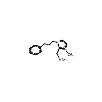 CCCCCCCCCCc1n(C)cc[n+]1CCCc1ccccc1